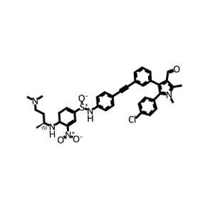 Cc1c(C=O)c(-c2cccc(C#Cc3ccc(N[S+]([O-])C4=CCC(N[C@@H](C)CCN(C)C)C([N+](=O)[O-])=C4)cc3)c2)c(-c2ccc(Cl)cc2)n1C